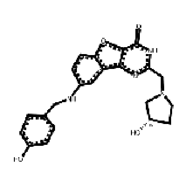 O=c1[nH]c(CN2CC[C@H](O)C2)nc2c1oc1ccc(NCc3ccc(O)cc3)cc12